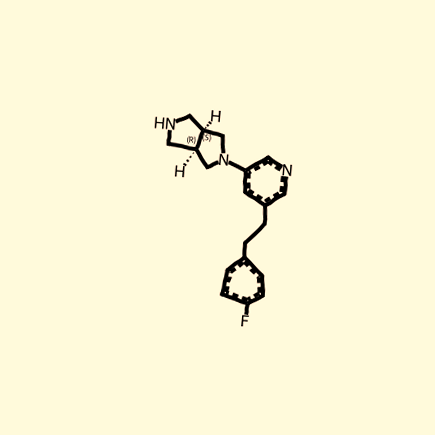 Fc1ccc(CCc2cncc(N3C[C@H]4CNC[C@H]4C3)c2)cc1